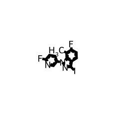 Cc1c(F)ccc2c(I)nn(-c3ccc(F)nc3)c12